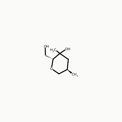 C[C@H]1CO[C@H](CO)C(C)(O)C1